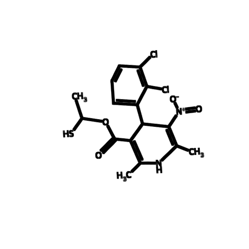 CC1=C(C(=O)OC(C)S)C(c2cccc(Cl)c2Cl)C([N+](=O)[O-])=C(C)N1